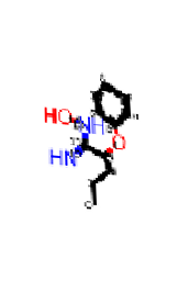 CCCC(Oc1ccccc1)C(=N)NO